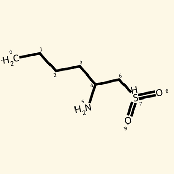 [CH2]CCCC(N)C[SH](=O)=O